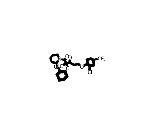 N#CC(Oc1ccccc1Cl)(C(=O)CCOc1ccc(C(F)(F)F)cc1Cl)C(=O)N1CCCCC1